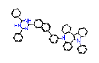 C1=CCCC(C2NC(c3ccccc3)=NC(c3ccc4ccc(-c5cccc(N6C7=C(CCC=C7)C7=C(c8ccccc86)N(c6ccccc6)C6C=CC=CC76)c5)cc4c3)N2)=C1